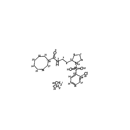 O=C(NCCC1CCCN1S(=O)(=O)c1ccccc1Cl)[C]1CCCCCCC1.[CH2].[CH2]